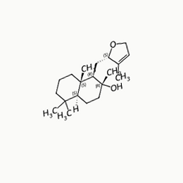 CC1=CCO[C@H]1C[C@@H]1[C@@]2(C)CCCC(C)(C)[C@@H]2CC[C@@]1(C)O